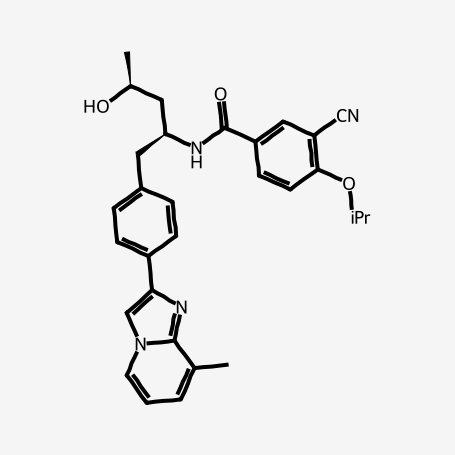 Cc1cccn2cc(-c3ccc(C[C@@H](C[C@H](C)O)NC(=O)c4ccc(OC(C)C)c(C#N)c4)cc3)nc12